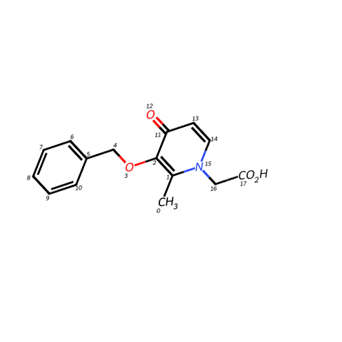 Cc1c(OCc2ccccc2)c(=O)ccn1CC(=O)O